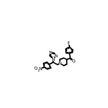 O=C(c1ccc(F)cc1)C1CCN(CC(c2ccc([N+](=O)[O-])cc2)n2cncn2)CC1